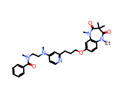 CCN1C(=O)C(C)(C)C(=O)N(C)c2cc(OCCCc3cc(N(C)CCN(C)C(=O)c4ccccc4)ccn3)ccc21